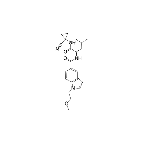 COCCn1ccc2cc(C(=O)NC(CC(C)C)C(=O)NC3(C#N)CC3)ccc21